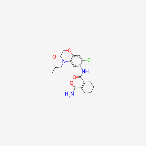 CCCN1C(=O)COc2cc(Cl)c(NC(=O)C3=C(C(N)=O)CCCC3)cc21